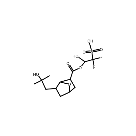 CC(C)(O)CC1CC2CC(C(=O)OC(O)C(F)(F)S(=O)(=O)O)C1O2